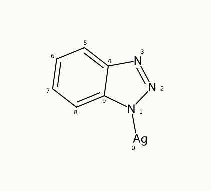 [Ag][n]1nnc2ccccc21